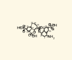 Nc1ccc(N=NC2=Cc3c(cc(S(=O)(=O)O)cc3S(=O)(=O)O)CC=C2)c2c(O)cc(S(=O)(=O)O)cc12